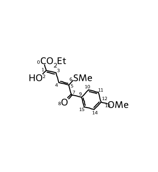 CCOC(=O)/C(O)=C/C=C(\SC)C(=O)c1ccc(OC)cc1